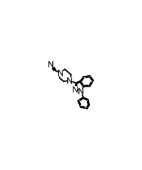 N#CN1CCN(c2nn(-c3ccccc3)c3ccccc23)CC1